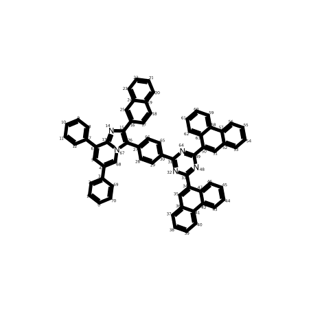 c1ccc(-c2cc(-c3ccccc3)c3nc(-c4ccc5ccccc5c4)c(-c4ccc(-c5nc(-c6cc7ccccc7c7ccccc67)nc(-c6cc7ccccc7c7ccccc67)n5)cc4)n3c2)cc1